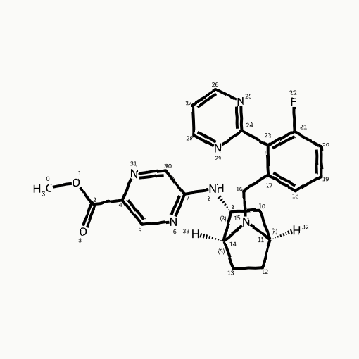 COC(=O)c1cnc(N[C@@H]2C[C@H]3CC[C@@H]2N3Cc2cccc(F)c2-c2ncccn2)cn1